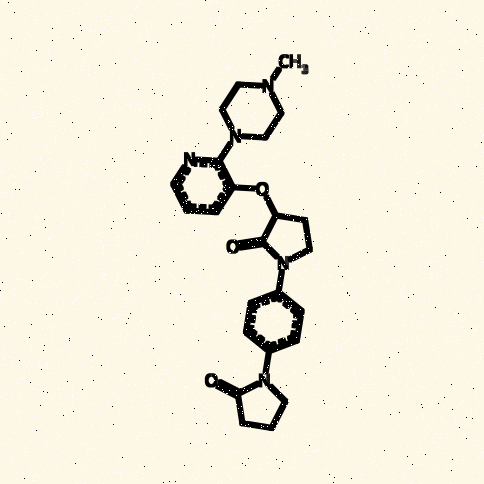 CN1CCN(c2ncccc2OC2CCN(c3ccc(N4CCCC4=O)cc3)C2=O)CC1